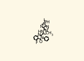 CC[C@H](Nc1ncnc2c1ncn2PI)c1nc2cccc(F)c2c(=O)n1-c1ccccc1